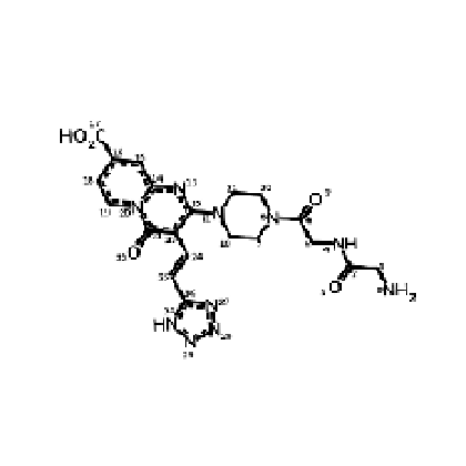 NCC(=O)NCC(=O)N1CCN(c2nc3cc(C(=O)O)ccn3c(=O)c2C=Cc2nnn[nH]2)CC1